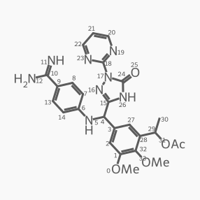 COc1cc(C(Nc2ccc(C(=N)N)cc2)c2nn(-c3ncccn3)c(=O)[nH]2)cc(C(C)OC(C)=O)c1OC